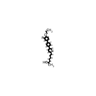 C=CCOc1ccc(-c2ccc(-c3ccc(C=CCCCC(C)O)nc3)cc2)cc1F